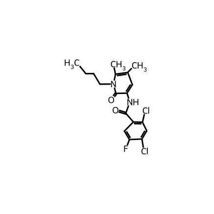 CCCCn1c(C)c(C)cc(NC(=O)c2cc(F)c(Cl)cc2Cl)c1=O